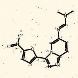 CN(C)C=Nc1ccc2nnc(-c3ccc([N+](=O)[O-])o3)n2c1